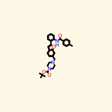 Cc1ccc(C(=O)Nc2ccccc2-c2cc3ccc(CN4CCN(C(=O)OC(C)(C)C)CC4)cc3o2)cc1